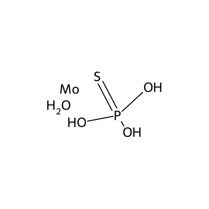 O.OP(O)(O)=S.[Mo]